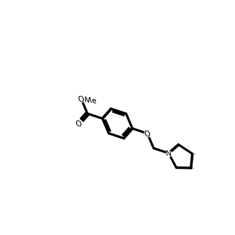 COC(=O)c1ccc(OCN2C[CH][CH]C2)cc1